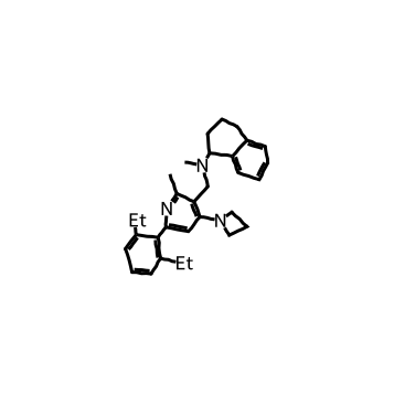 CCc1cccc(CC)c1-c1cc(N2CCC2)c(CN(C)C2CCCc3ccccc32)c(C)n1